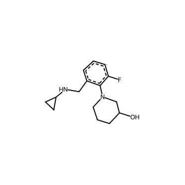 OC1CCCN(c2c(F)[c]ccc2CNC2CC2)C1